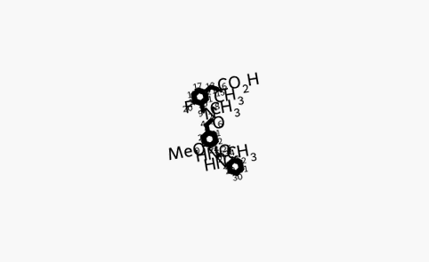 COc1cc(CC(=O)N(C)Cc2cc(CC(C)C(=O)O)ccc2F)ccc1NC(=O)Nc1ccccc1C